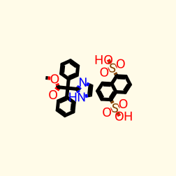 COC(=O)C(c1ccccc1)(c1ccccc1)c1ncc[nH]1.O=S(=O)(O)c1cccc2c(S(=O)(=O)O)cccc12